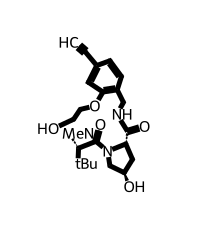 C#Cc1ccc(CNC(=O)[C@@H]2C[C@@H](O)CN2C(=O)[C@@H](NC)C(C)(C)C)c(OCCO)c1